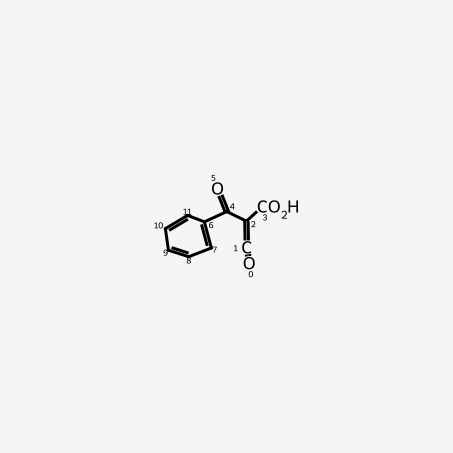 O=C=C(C(=O)O)C(=O)c1ccccc1